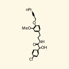 CCCC#CCOc1ccc(CCNC(=O)C(O)c2ccc(Cl)cc2)cc1OC